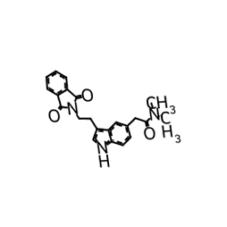 CN(C)C(=O)Cc1ccc2[nH]cc(CCN3C(=O)c4ccccc4C3=O)c2c1